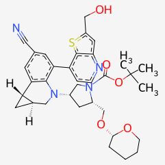 CC(C)(C)OC(=O)N1C[C@@H](N2C[C@H]3C[C@@H]3c3cc(C#N)cc(-c4ccnc5cc(CO)sc45)c32)C[C@H]1CO[C@H]1CCCCO1